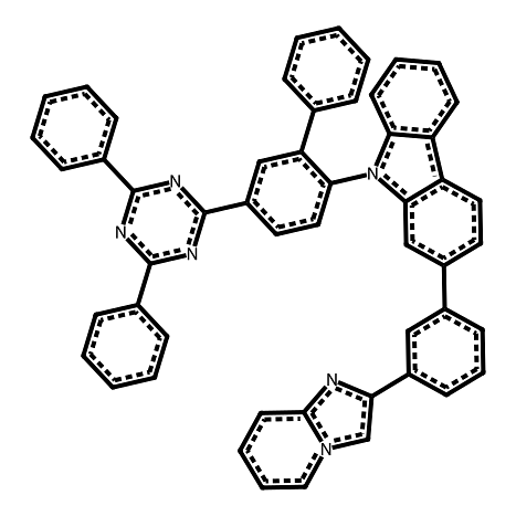 c1ccc(-c2nc(-c3ccccc3)nc(-c3ccc(-n4c5ccccc5c5ccc(-c6cccc(-c7cn8ccccc8n7)c6)cc54)c(-c4ccccc4)c3)n2)cc1